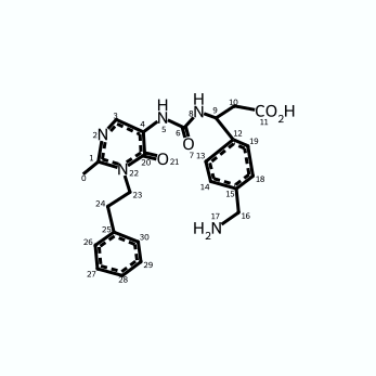 Cc1ncc(NC(=O)NC(CC(=O)O)c2ccc(CN)cc2)c(=O)n1CCc1ccccc1